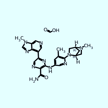 Cc1cc(Nc2nc(-c3cncc4c3ncn4C)cnc2C(N)=O)cnc1N1C[C@H]2C[C@@H]1CN2C.O=CO